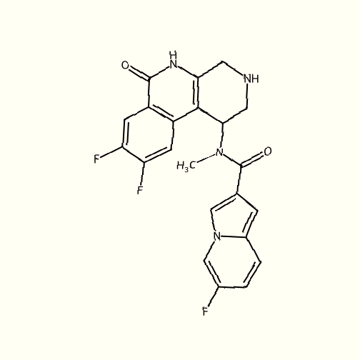 CN(C(=O)c1cc2ccc(F)cn2c1)C1CNCc2[nH]c(=O)c3cc(F)c(F)cc3c21